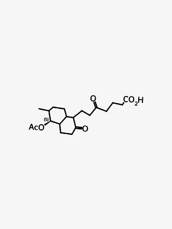 CC(=O)O[C@H]1C(C)CCC2C(CCC(=O)CCCC(=O)O)C(=O)CCC21